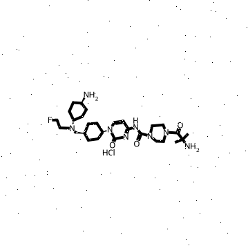 CC(C)(N)C(=O)N1CCN(C(=O)Nc2ccn([C@H]3CC[C@H](CN(CCF)[C@H]4CC[C@H](N)CC4)CC3)c(=O)n2)CC1.Cl